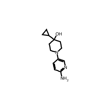 Nc1ccc(N2CCC(O)(C3CC3)CC2)cn1